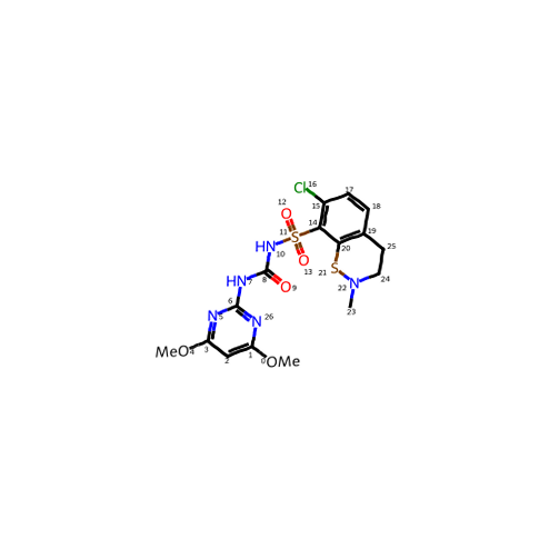 COc1cc(OC)nc(NC(=O)NS(=O)(=O)c2c(Cl)ccc3c2SN(C)CC3)n1